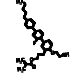 C=C(C)C(=O)OCCCc1cc(-c2ccc(-c3ccc(CCCCC)cc3)cc2F)ccc1OCCO